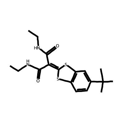 CCNC(=O)C(C(=O)NCC)=C1Sc2ccc(C(C)(C)C)cc2S1